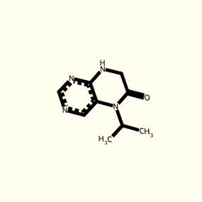 CC(C)N1C(=O)CNc2ncncc21